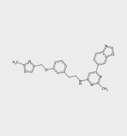 Cc1nc(NCCc2cccc(OCc3csc(C)n3)c2)cc(-c2ccc3ncsc3c2)n1